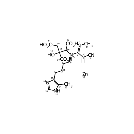 CN=C(NC#N)N(CCSCc1nc[nH]c1C)C(C(=O)O)C(O)(CC(=O)O)C(=O)O.[Zn]